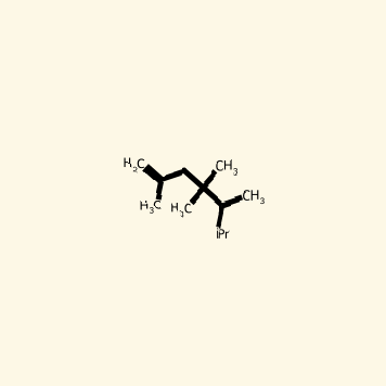 C=C(C)CC(C)(C)C(C)C(C)C